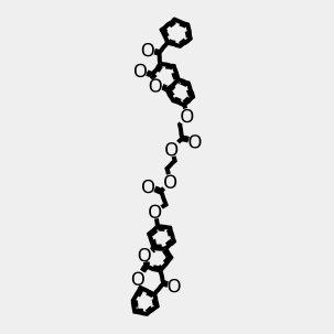 O=C(COc1ccc2cc(C(=O)c3ccccc3)c(=O)oc2c1)OCCOC(=O)COc1ccc2cc(C(=O)c3ccccc3)c(=O)oc2c1